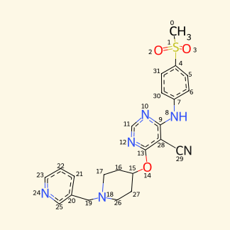 CS(=O)(=O)c1ccc(Nc2ncnc(OC3CCN(Cc4cccnc4)CC3)c2C#N)cc1